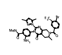 CNC(=O)c1ccc(-n2c(-n3nc(C)cc3C)nc3c(c2=O)CC(C)N(C(=O)c2ccc(Br)c(C(F)(F)F)c2)C3)cc1N